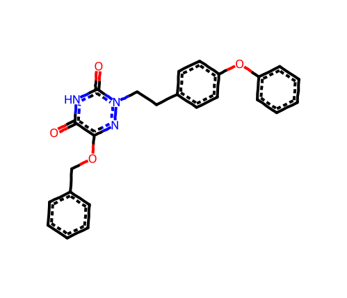 O=c1[nH]c(=O)n(CCc2ccc(Oc3ccccc3)cc2)nc1OCc1ccccc1